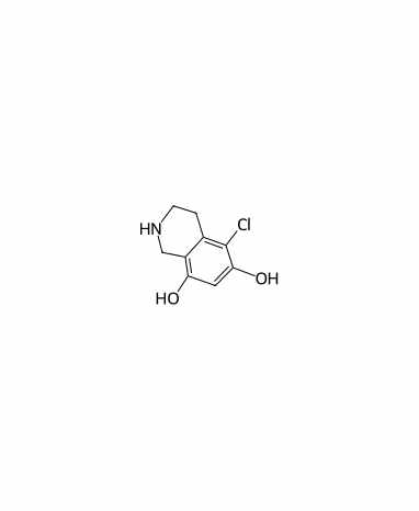 Oc1cc(O)c2c(c1Cl)CCNC2